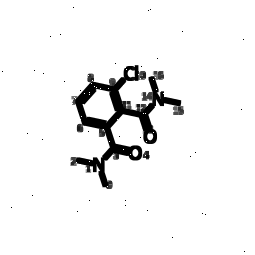 CN(C)C(=O)c1cccc(Cl)c1C(=O)N(C)C